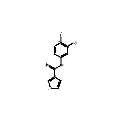 N#Cc1cc(NC(=N)c2ccoc2)ccc1F